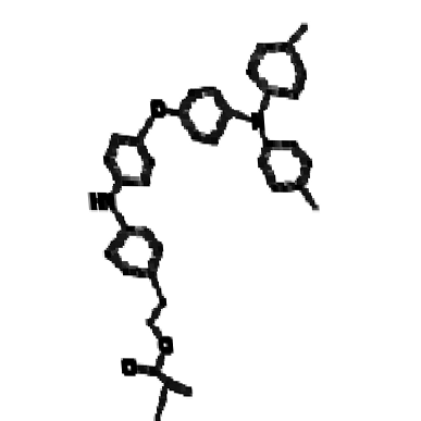 C=C(C)C(=O)OCCc1ccc(Nc2ccc(Oc3ccc(N(c4ccc(C)cc4)c4ccc(C)cc4)cc3)cc2)cc1